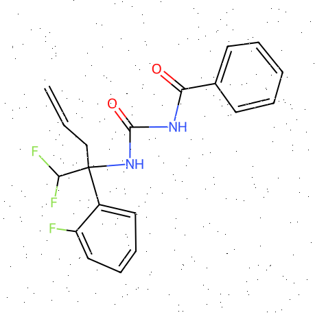 C=CCC(NC(=O)NC(=O)c1ccccc1)(c1ccccc1F)C(F)F